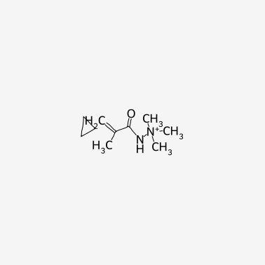 C1CC1.C=C(C)C(=O)N[N+](C)(C)C